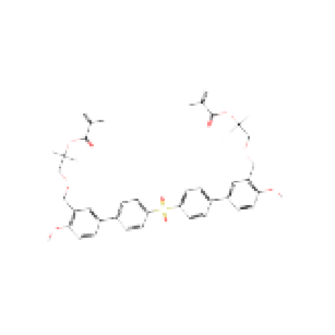 C=C(C)C(=O)OC(C)(C)COCc1cc(-c2ccc(S(=O)(=O)c3ccc(-c4ccc(OC)c(COCC(C)(C)OC(=O)C(=C)C)c4)cc3)cc2)ccc1OC